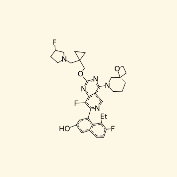 CCc1c(F)ccc2cc(O)cc(-c3ncc4c(N5CCC[C@]6(CCO6)C5)nc(OCC5(CN6CCC(F)C6)CC5)nc4c3F)c12